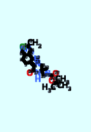 C=C(Cl)/C=C1\C(=C/N)CCc2c1nn1c2C(=O)NC2(CN(C(=O)OC(C)(C)C)C2)C1